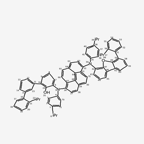 CC(C)c1ccc(N(c2cccc(-c3cccc(-c4ccccc4C(C)C)c3)c2O)c2ccc3ccc4c(N(c5ccc(C(C)C)cc5)c5cccc6c5oc5c(-c7ccccc7C(C)C)cccc56)ccc5ccc2c3c54)cc1